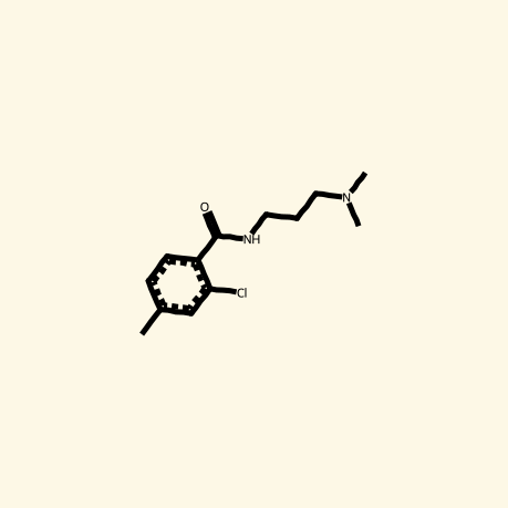 Cc1ccc(C(=O)NCCCN(C)C)c(Cl)c1